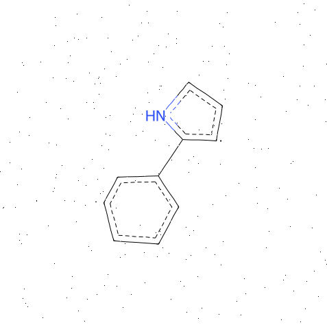 [c]1cc[nH]c1-c1ccccc1